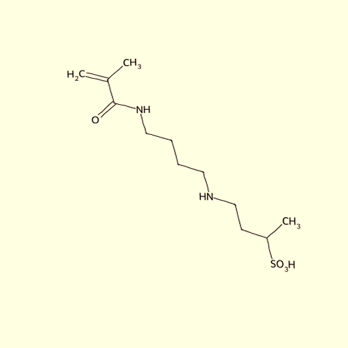 C=C(C)C(=O)NCCCCNCCC(C)S(=O)(=O)O